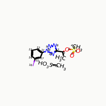 CC(OS(C)(=O)=O)c1nnn(-c2cccc(I)c2)n1.CS(=O)(=O)O